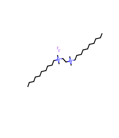 CCCCCCCCCC[N+](C)(C)CC[N+](C)(C)CCCCCCCCCC.[I-].[I-]